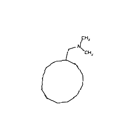 CN(C)CC1CCCCCCCCCCC1